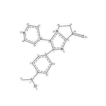 C[S+]([O-])c1ccc(-c2nc3n(c2-c2ccncc2)CCC3=O)cc1